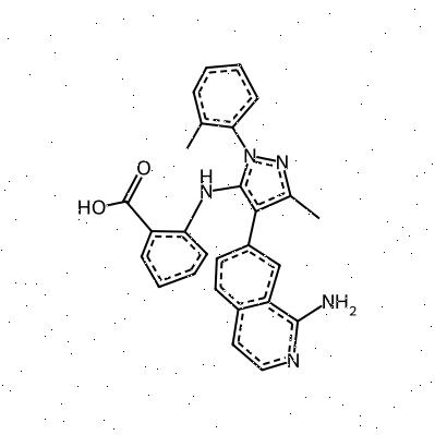 Cc1ccccc1-n1nc(C)c(-c2ccc3ccnc(N)c3c2)c1Nc1ccccc1C(=O)O